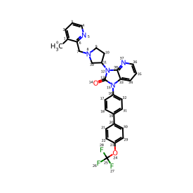 Cc1cccnc1CN1CCC(n2c(=O)n(-c3ccc(-c4ccc(OC(F)(F)F)cc4)cc3)c3cccnc32)C1